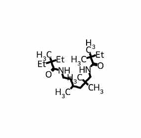 CCC(C)(C)C(=O)NCC(C)(C)CC(C)CCNC(=O)C(C)(CC)CC